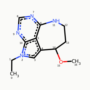 CCn1cc2c3c(ncnc31)NCCC2OC